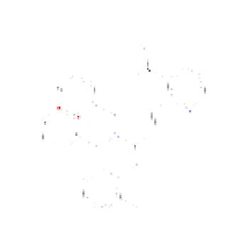 COC(=O)c1cccnc1C=CC(Cc1ccccc1F)N(Cc1ccccc1)Cc1ccccc1